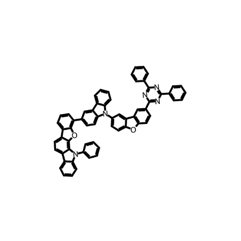 c1ccc(-c2nc(-c3ccccc3)nc(-c3ccc4oc5ccc(-n6c7ccccc7c7cc(-c8cccc9c8oc8c9ccc9c%10ccccc%10n(-c%10ccccc%10)c98)ccc76)cc5c4c3)n2)cc1